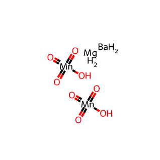 [BaH2].[MgH2].[O]=[Mn](=[O])(=[O])[OH].[O]=[Mn](=[O])(=[O])[OH]